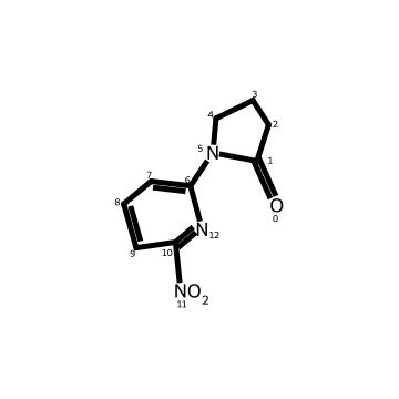 O=C1CCCN1c1cccc([N+](=O)[O-])n1